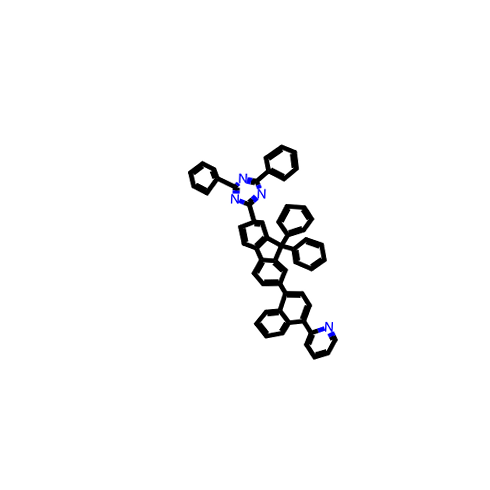 c1ccc(-c2nc(-c3ccccc3)nc(-c3ccc4c(c3)C(c3ccccc3)(c3ccccc3)c3cc(-c5ccc(-c6ccccn6)c6ccccc56)ccc3-4)n2)cc1